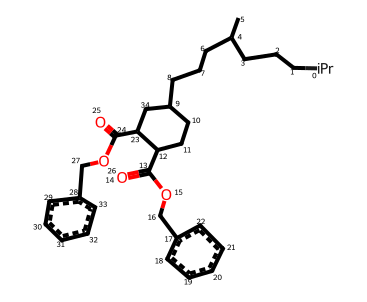 CC(C)CCCC(C)CCCC1CCC(C(=O)OCc2ccccc2)C(C(=O)OCc2ccccc2)C1